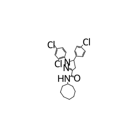 O=C(NC1CCCCCCC1)C1=NN(c2ccc(Cl)cc2Cl)C(c2ccc(Cl)cc2)C1